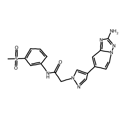 CS(=O)(=O)c1cccc(NC(=O)Cn2cc(-c3ccn4nc(N)nc4c3)cn2)c1